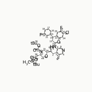 CCC(Cc1c(F)cncc1NC(=O)CC(c1cccc(F)c1)c1ccc(Cl)c(F)c1)[C@@H]1CN(C(=O)OC(C)(C)C)[C@H](CO[Si](C)(C)C(C)(C)C)CO1